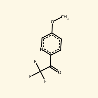 COc1ccc(C(=O)C(F)(F)F)nc1